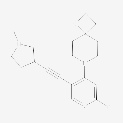 CN1CCC(C#Cc2cnc(Cl)cc2N2CCC3(CCO3)CC2)C1